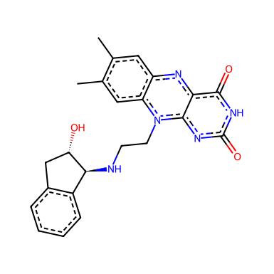 Cc1cc2nc3c(=O)[nH]c(=O)nc-3n(CCN[C@H]3c4ccccc4C[C@@H]3O)c2cc1C